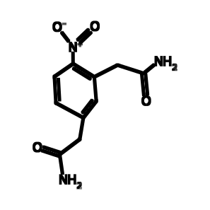 NC(=O)Cc1ccc([N+](=O)[O-])c(CC(N)=O)c1